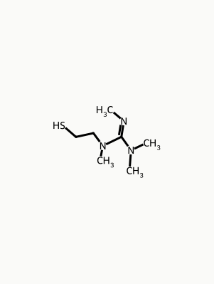 CN=C(N(C)C)N(C)CCS